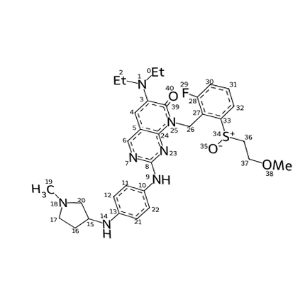 CCN(CC)c1cc2cnc(Nc3ccc(NC4CCN(C)C4)cc3)nc2n(Cc2c(F)cccc2[S+]([O-])CCOC)c1=O